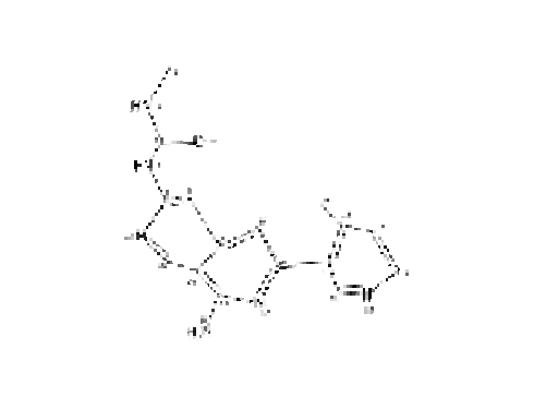 CNC(=O)Nc1cc2cc(-c3cnccc3C)nc(N)c2cn1